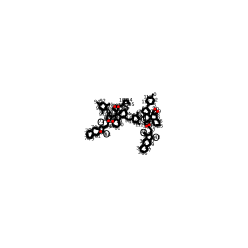 Cc1ccc(-c2ccc3c(c2)C2(c4ccccc4-c4ccccc42)c2cc(C=C4C(=O)c5cc6ccccc6cc5C4=O)ccc2N3c2c(C)cc(Cc3cccc4c3-c3ccccc3C43c4cc(C=C5C(=O)c6cc7ccccc7cc6C5=O)ccc4N(c4c(C)cc(C)cc4C)c4ccc(-c5cccs5)cc43)cc2C)cc1